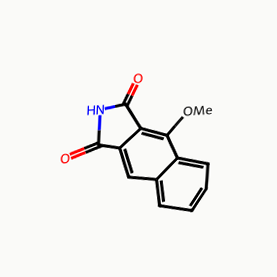 COc1c2c(cc3ccccc13)C(=O)NC2=O